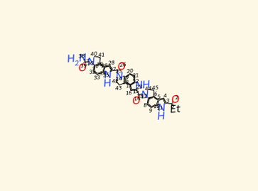 CCC(=O)c1cc2c3c(ccc2[nH]1)N(C(=O)c1cc2c4c(ccc2[nH]1)N(C(=O)c1cc2c5c(ccc2[nH]1)N(C(N)=O)CC5)CC4)CC3